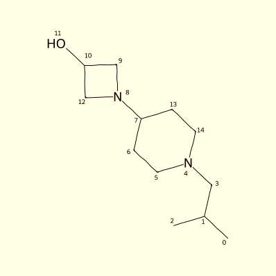 CC(C)CN1CCC(N2CC(O)C2)CC1